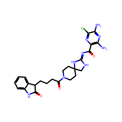 Nc1nc(N)c(C(=O)/N=C2\NCC3(CCN(C(=O)CCCC4C(=O)Nc5ccccc54)CC3)N2)nc1Cl